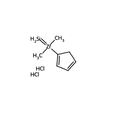 Cl.Cl.[CH3][Zr]([CH3])(=[SiH2])[C]1=CC=CC1